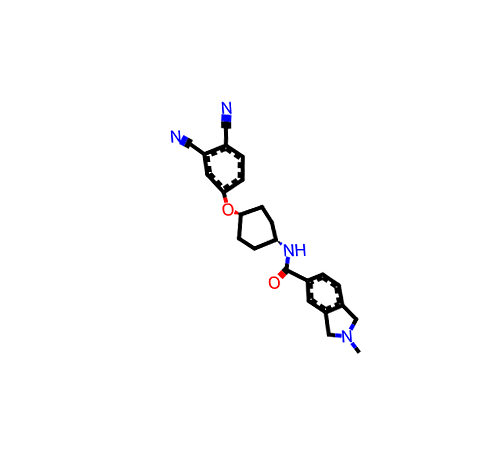 CN1Cc2ccc(C(=O)N[C@H]3CC[C@H](Oc4ccc(C#N)c(C#N)c4)CC3)cc2C1